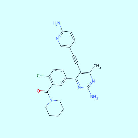 Cc1nc(N)nc(-c2ccc(Cl)c(C(=O)N3CCCCC3)c2)c1C#Cc1ccc(N)nc1